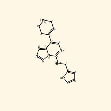 C1=C(c2cnc(NCc3ccco3)n3cnnc23)CCNC1